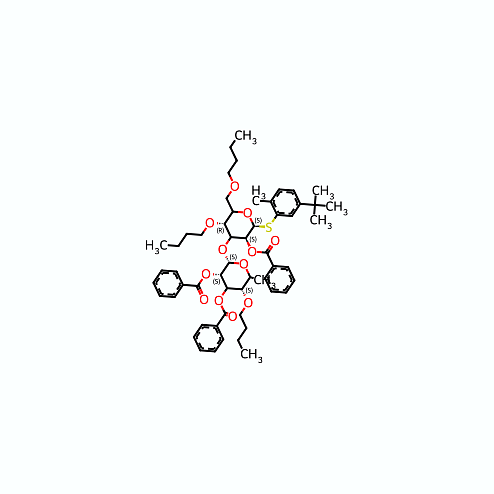 CCCCOCC1O[C@@H](Sc2cc(C(C)(C)C)ccc2C)[C@@H](OC(=O)c2ccccc2)C(O[C@@H]2OC(C)[C@H](OCCCC)C(OC(=O)c3ccccc3)[C@@H]2OC(=O)c2ccccc2)[C@@H]1OCCCC